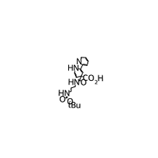 CC(C)(C)OC(=O)NCCCNC(=O)C1(C(=O)O)C=CNC(c2ccccn2)=C1